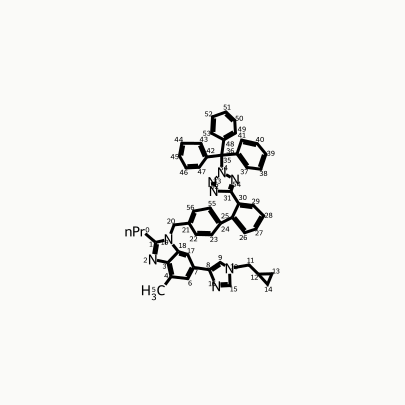 CCCc1nc2c(C)cc(-c3cn(CC4CC4)cn3)cc2n1Cc1ccc(-c2ccccc2-c2nnn(C(c3ccccc3)(c3ccccc3)c3ccccc3)n2)cc1